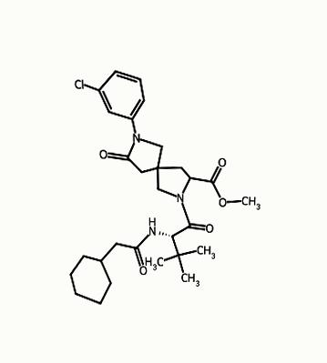 COC(=O)C1CC2(CC(=O)N(c3cccc(Cl)c3)C2)CN1C(=O)[C@@H](NC(=O)CC1CCCCC1)C(C)(C)C